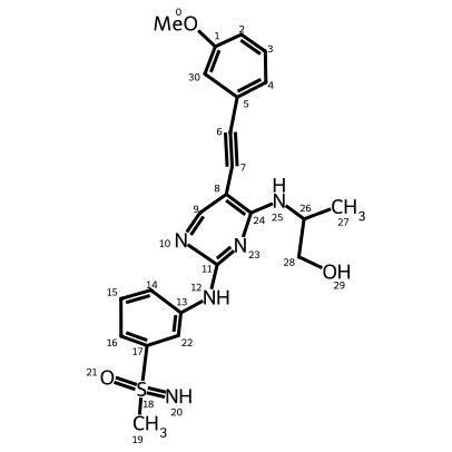 COc1cccc(C#Cc2cnc(Nc3cccc(S(C)(=N)=O)c3)nc2NC(C)CO)c1